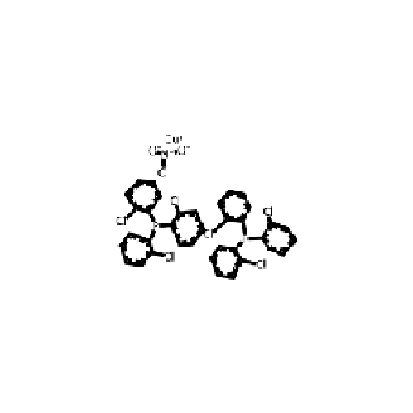 Clc1ccccc1P(c1ccccc1Cl)c1ccccc1Cl.Clc1ccccc1P(c1ccccc1Cl)c1ccccc1Cl.O=[N+]([O-])[O-].[Cu+]